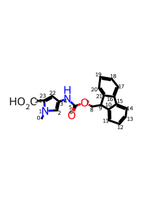 Cn1cc(NC(=O)OCC2c3ccccc3-c3ccccc32)cc1C(=O)O